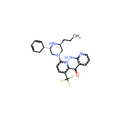 CCC[C@H]1CN(c2ccc(C(F)(F)F)c(C(=O)c3cccnc3N)n2)C[C@H](C2C=CC=CC2)N1